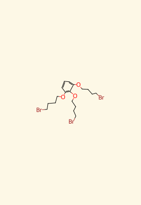 BrCCCCOc1cccc(OCCCCBr)c1OCCCCBr